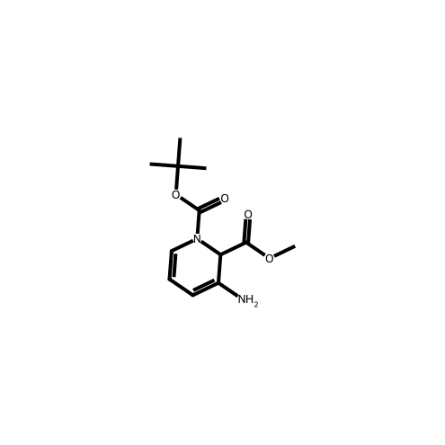 COC(=O)C1C(N)=CC=CN1C(=O)OC(C)(C)C